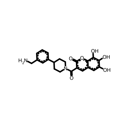 NCc1cccc(C2CCN(C(=O)c3cc4cc(O)c(O)c(O)c4oc3=O)CC2)c1